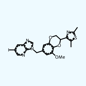 COc1cc(Cn2cnc3cc(I)cnc32)cc2c1OC(c1nc(C)sc1C)CO2